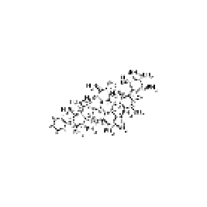 Bc1c(B)c(B)c2c(oc3c(B)c(B)c(-c4c5c(B)c(B)c(B)c(B)c5c(-c5c(B)c(B)c6c(B)c(-c7ccccc7)c(B)c(B)c6c5B)c5c(B)c(B)c(B)c(B)c45)c(B)c32)c1B